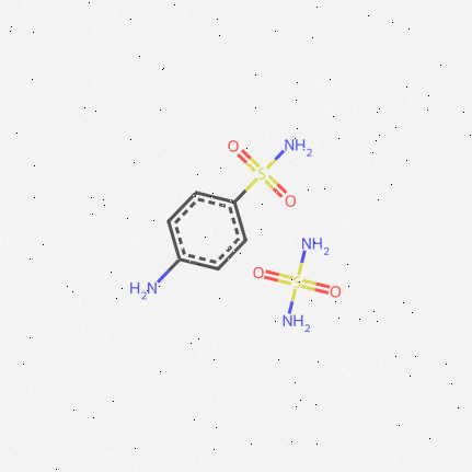 NS(N)(=O)=O.Nc1ccc(S(N)(=O)=O)cc1